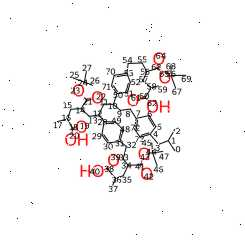 CC(C)Cc1ccc(CCC(CC(CC(CC(C)C(=O)O)C(=O)OC(C)(C)C)c2ccc(CCC(CC(C)C(=O)O)C(=O)OC(C)(C)C)cc2)c2ccc(CCC(CC(C)C(=O)O)C(=O)OC(C)(C)C)cc2)cc1